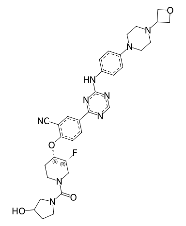 N#Cc1cc(-c2ncnc(Nc3ccc(N4CCN(C5COC5)CC4)cc3)n2)ccc1O[C@H]1CCN(C(=O)N2CCC(O)C2)C[C@H]1F